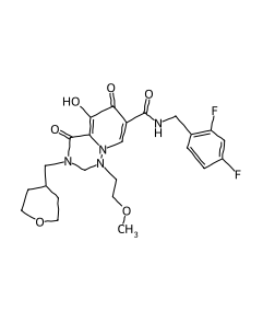 COCCN1CN(CC2CCOCC2)C(=O)c2c(O)c(=O)c(C(=O)NCc3ccc(F)cc3F)cn21